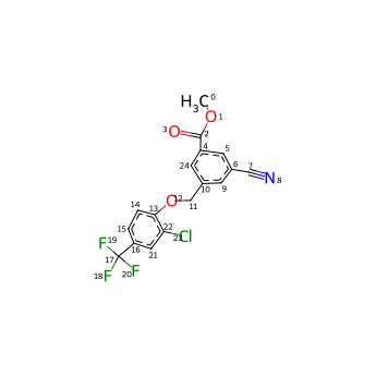 COC(=O)c1cc(C#N)cc(COc2ccc(C(F)(F)F)cc2Cl)c1